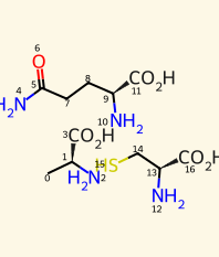 C[C@H](N)C(=O)O.NC(=O)CC[C@H](N)C(=O)O.N[C@@H](CS)C(=O)O